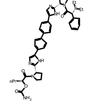 CCC[C@H](OC(N)=O)C(=O)N1CCC[C@H]1c1ncc(-c2ccc(-c3ccc(-c4cnc([C@@H]5CCCN5C(=O)[C@@H](c5ccccc5)N(CC)CC)[nH]4)cc3)cc2)[nH]1